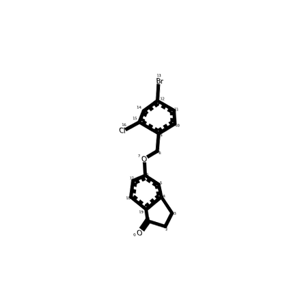 O=C1CCc2cc(OCc3ccc(Br)cc3Cl)ccc21